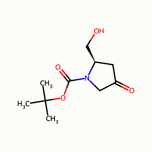 CC(C)(C)OC(=O)N1CC(=O)C[C@@H]1CO